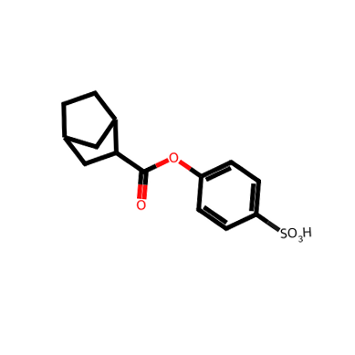 O=C(Oc1ccc(S(=O)(=O)O)cc1)C1CC2CCC1C2